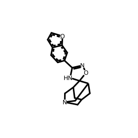 c1cc2ccc(C3=NOC4(N3)C3CC5CC4CN(C5)C3)cc2o1